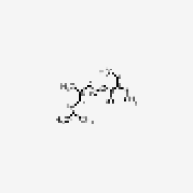 CCC(CC)C(=O)OOCC(C)CCC(C)C